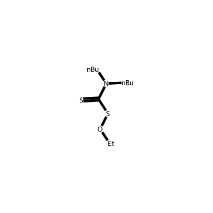 CCCCN(CCCC)C(=S)SOCC